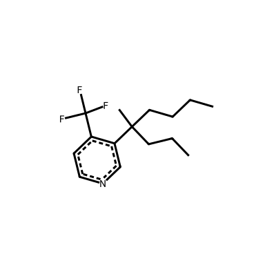 CCCCC(C)(CCC)c1cnccc1C(F)(F)F